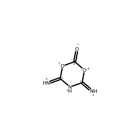 N=c1[nH]c(=N)oc(=O)o1